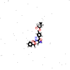 COC(=O)C(CC1CC1)OCc1ccc(-c2onc(C)c2NC(=O)OC(C)c2ccccc2)cc1